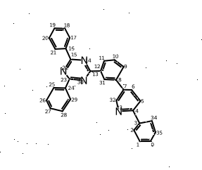 c1ccc(-c2ccc(-c3cccc(-c4nc(-c5ccccc5)nc(-c5ccccc5)n4)c3)cn2)cc1